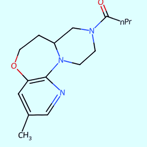 CCCC(=O)N1CCN2c3ncc(C)cc3OCCC2C1